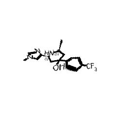 C[C@H]1CC(O)(c2ccc(C(F)(F)F)cc2)C[C@@H](c2cn(C)cn2)N1